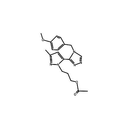 COc1ccc(Cn2cnnc2-c2cc(C)nn2CCCOC(C)=O)cc1